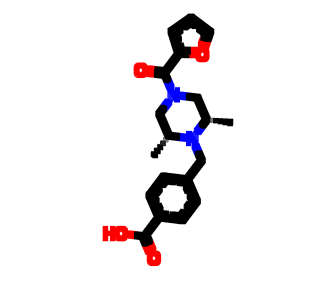 C[C@@H]1CN(C(=O)c2ccco2)C[C@H](C)N1Cc1ccc(C(=O)O)cc1